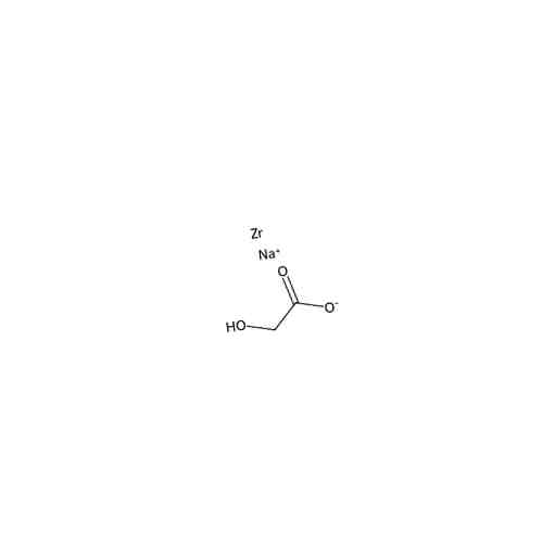 O=C([O-])CO.[Na+].[Zr]